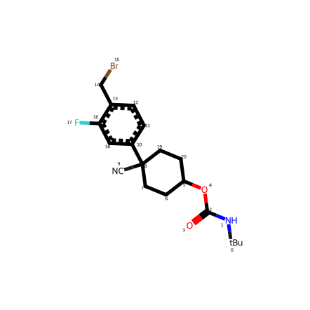 CC(C)(C)NC(=O)OC1CCC(C#N)(c2ccc(CBr)c(F)c2)CC1